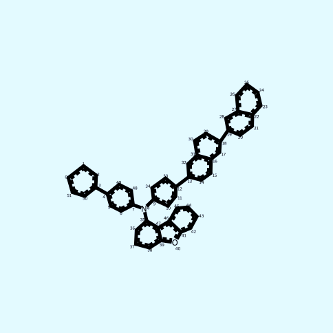 c1ccc(-c2ccc(N(c3ccc(-c4ccc5cc(-c6ccc7ccccc7c6)ccc5c4)cc3)c3cccc4oc5ccccc5c34)cc2)cc1